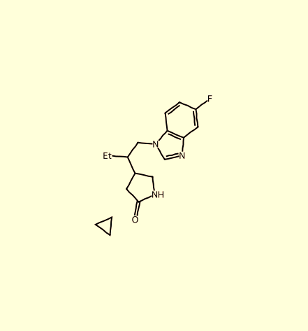 C1CC1.CCC(Cn1cnc2cc(F)ccc21)C1CNC(=O)C1